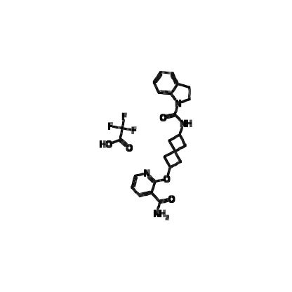 NC(=O)c1cccnc1OC1CC2(CC(NC(=O)N3CCc4ccccc43)C2)C1.O=C(O)C(F)(F)F